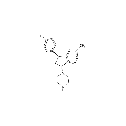 Fc1ccc([C@@H]2C[C@@H](N3CCNCC3)c3ccc(C(F)(F)F)cc32)cc1